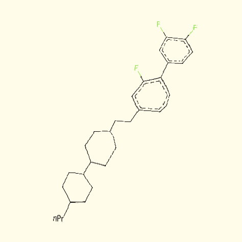 CCCC1CCC(C2CCC(CCc3ccc(-c4ccc(F)c(F)c4)c(F)c3)CC2)CC1